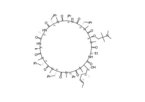 C/C=C/C[C@@H](C)[C@@H](O)C1C(=O)N[C@@H](CC)C(=O)N(C)[C@H](OCC(C)(C)N(C)C)C(=O)N(C)[C@@H](CC(C)C)C(=O)N[C@@H](C(C)C)C(=O)N(C)[C@@H](CC(C)C)C(=O)N[C@@H](C)C(=O)N[C@H](C)C(=O)N(C)[C@@H](CC(C)C)C(=O)N(C)[C@@H](CC(C)C)C(=O)N(C)[C@@H](C(C)C)C(=O)N1C